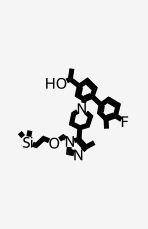 Cc1cc(-c2ccc(C(C)O)cc2N2CCC(c3c(C)ncn3COCC[Si](C)(C)C)CC2)ccc1F